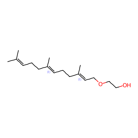 CC(C)=CCC/C(C)=C/CC/C(C)=C/COCCO